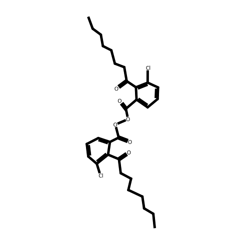 CCCCCCCC(=O)c1c(Cl)cccc1C(=O)OOC(=O)c1cccc(Cl)c1C(=O)CCCCCCC